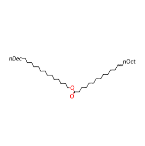 CCCCCCCCC=CCCCCCCCCCCCC(=O)OCCCCCCCCCCCCCCCCCCCCCCCC